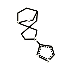 c1cc(N2CCC3(CC4CCN3CC4)C2)on1